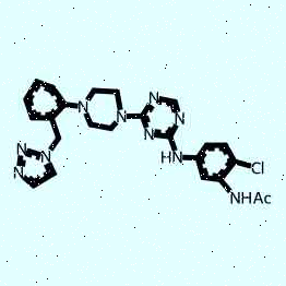 CC(=O)Nc1cc(Nc2ncnc(N3CCN(c4ccccc4Cn4ccnn4)CC3)n2)ccc1Cl